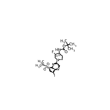 CN(C)S(=O)(=O)n1cc(I)c2ncc(N3CC[C@H](NC(=O)OC(C)(C)C)[C@H](F)C3)nc21